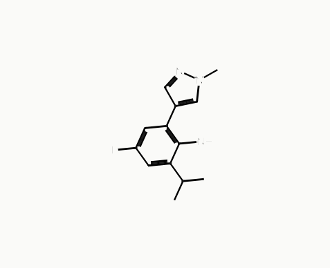 CC(C)c1cc(F)cc(-c2cnn(C)c2)c1N